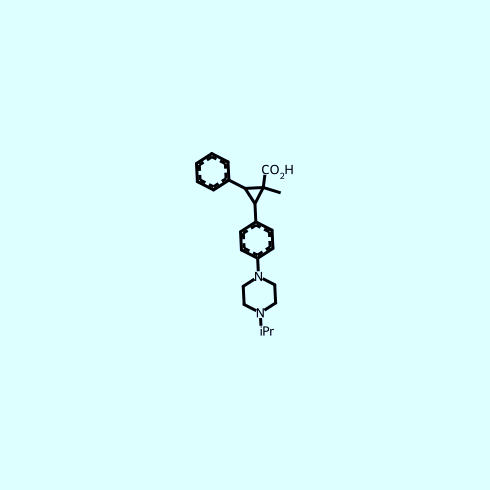 CC(C)N1CCN(c2ccc(C3C(c4ccccc4)C3(C)C(=O)O)cc2)CC1